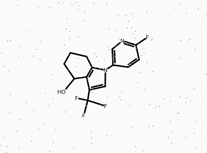 OC1CCCc2c1c(C(F)(F)F)cn2-c1ccc(F)nc1